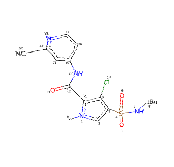 Cn1cc(S(=O)(=O)NC(C)(C)C)c(Cl)c1C(=O)Nc1ccnc(C#N)c1